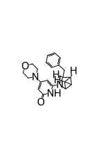 O=c1cc(N2CCOCC2)cc(N2C3C4[C@H]3[C@@H]4[C@H]2Cc2ccccc2)[nH]1